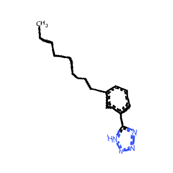 CCCCCCCCc1cccc(-c2nnn[nH]2)c1